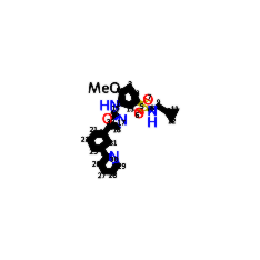 COc1ccc(S(=O)(=O)NCC2CC2)cc1Nc1ncc(-c2cccc(-c3ccccn3)c2)o1